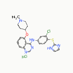 CN1CCC(Oc2cccc3ncnc(Nc4ccc(Sc5ncc[nH]5)c(Cl)c4)c23)CC1.Cl